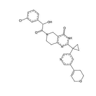 O=C(C(O)c1cccc(Cl)c1)N1CCc2nc(C3(c4cncc(C5=CCOCC5)c4)CC3)[nH]c(=O)c2C1